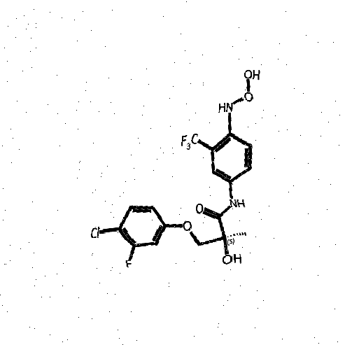 C[C@](O)(COc1ccc(Cl)c(F)c1)C(=O)Nc1ccc(NOO)c(C(F)(F)F)c1